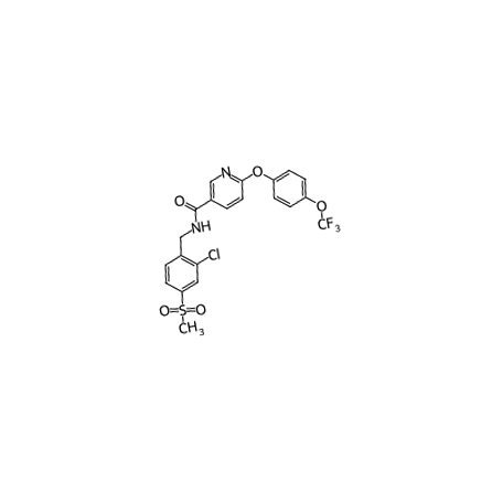 CS(=O)(=O)c1ccc(CNC(=O)c2ccc(Oc3ccc(OC(F)(F)F)cc3)nc2)c(Cl)c1